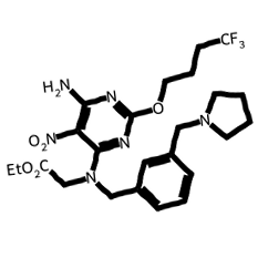 CCOC(=O)CN(Cc1cccc(CN2CCCC2)c1)c1nc(OCCCC(F)(F)F)nc(N)c1[N+](=O)[O-]